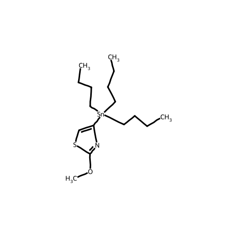 CCC[CH2][Sn]([CH2]CCC)([CH2]CCC)[c]1csc(OC)n1